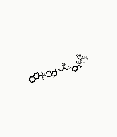 CC(CO)NS(=O)(=O)c1cccc(OC[C@@H](O)CNC2COC3(CCN(S(=O)(=O)c4ccc5ccccc5c4)CC3)C2)c1